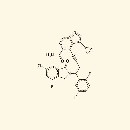 NC(=O)c1ccn2ncc(C3CC3)c2c1C#CCC(c1cc(F)ccc1F)N1Cc2c(F)cc(Cl)cc2C1=O